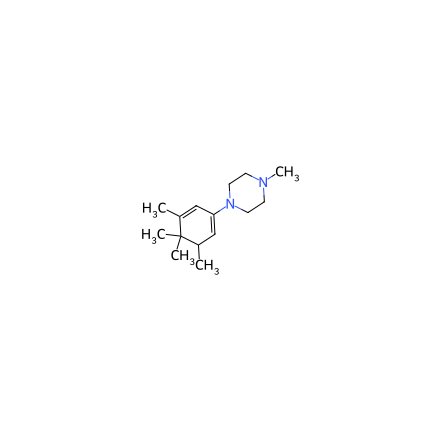 CC1=CC(N2CCN(C)CC2)=CC(C)C1(C)C